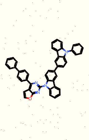 c1ccc(-c2ccc(-c3nc(-n4c5ccccc5c5cc(-c6ccc7c(c6)c6ccccc6n7-c6ccccc6)ccc54)nc4occc34)cc2)cc1